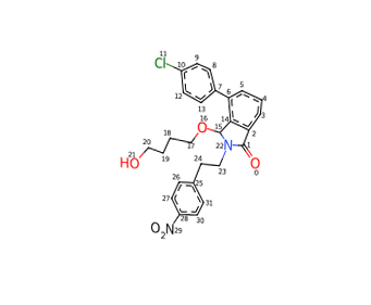 O=C1c2cccc(-c3ccc(Cl)cc3)c2C(OCCCCO)N1CCc1ccc([N+](=O)[O-])cc1